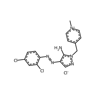 C[n+]1ccc(Cn2ncc(N=Nc3ccc(Cl)cc3Cl)c2N)cc1.[Cl-]